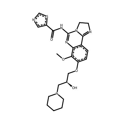 COc1c(OC[C@@H](O)CN2CCCCC2)ccc2c1N=C(NC(=O)c1cncs1)N1CCN=C21